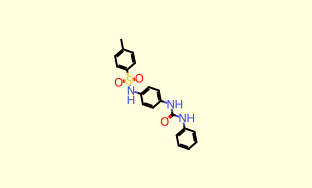 Cc1ccc(S(=O)(=O)Nc2ccc(NC(=O)Nc3ccccc3)cc2)cc1